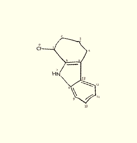 ClC1C[CH]Cc2c1[nH]c1ccccc21